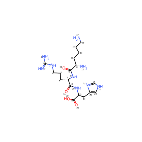 N=C(N)NCCC[C@H](NC(=O)[C@@H](N)CCCCN)C(=O)N[C@@H](Cc1c[nH]cn1)C(=O)O